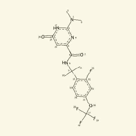 CN(C)c1nc(C(=O)NC(C)(C)c2ccc(OC(F)(F)F)cc2F)cc(=O)[nH]1